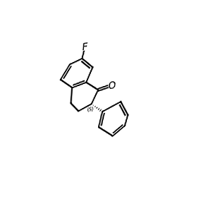 O=C1c2cc(F)ccc2CC[C@H]1c1ccccc1